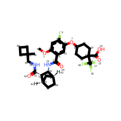 COc1cc(F)c(OC2CCC(C(=O)O)(C(F)(F)F)CC2)cc1C(=O)N[C@@H]1[C@H]2CC[C@H](C2)[C@@H]1C(=O)NCC1(C)CCC1